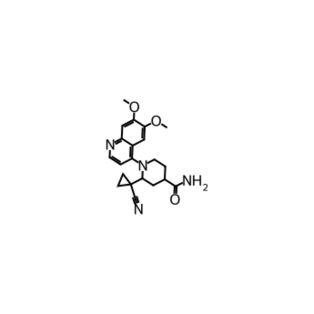 COc1cc2nccc(N3CCC(C(N)=O)CC3C3(C#N)CC3)c2cc1OC